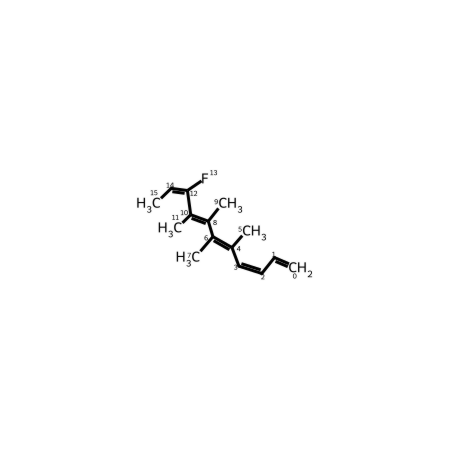 C=C\C=C/C(C)=C(C)/C(C)=C(C)/C(F)=C\C